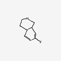 FC1=CC2C[N]CCC2C=C1